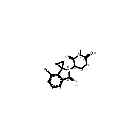 CC(C)c1cccc2c1C1(CC1)N(C1CCC(=O)NC1=O)C2=O